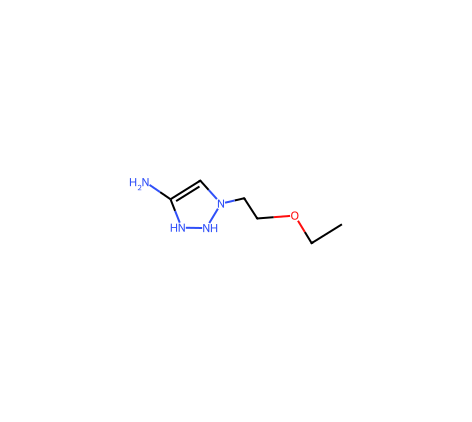 CCOCCN1C=C(N)NN1